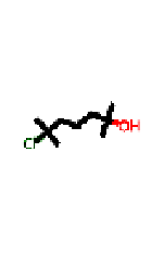 CC(C)(O)CCCC(C)(C)Cl